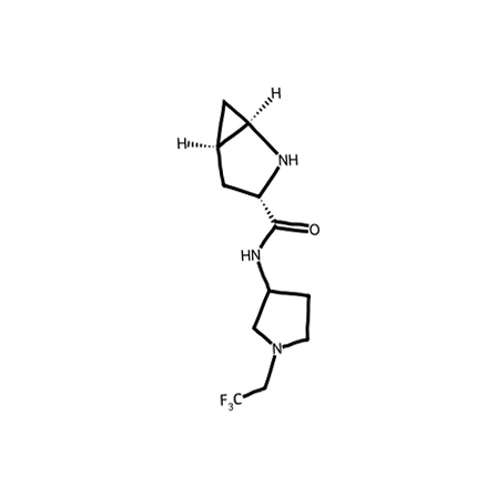 O=C(NC1CCN(CC(F)(F)F)C1)[C@@H]1C[C@H]2C[C@H]2N1